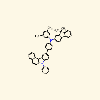 Cc1cc(C)cc(N(c2ccc(-c3ccc4c(c3)c3c5ccccc5ccc3n4C3=CCCC=C3)cc2)c2ccc3c(c2)C(C)(C)c2ccccc2-3)c1